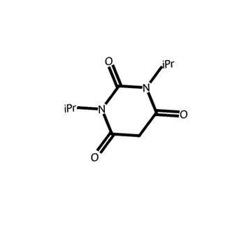 CC(C)N1C(=O)CC(=O)N(C(C)C)C1=O